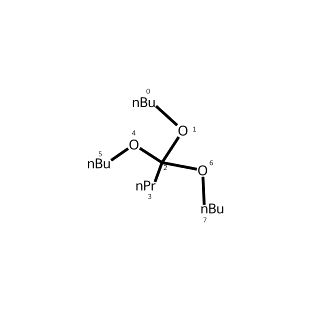 CCCCOC(CCC)(OCCCC)OCCCC